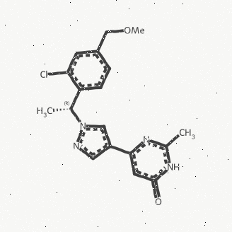 COCc1ccc([C@@H](C)n2cc(-c3cc(=O)[nH]c(C)n3)cn2)c(Cl)c1